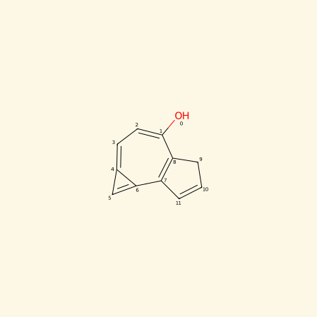 OC1=CC=C2C=C2C2=C1CC=C2